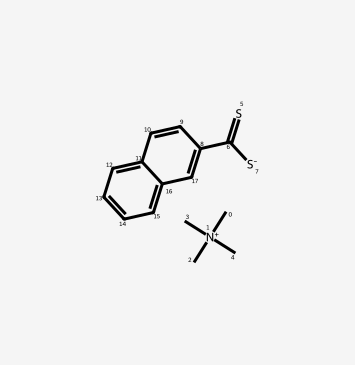 C[N+](C)(C)C.S=C([S-])c1ccc2ccccc2c1